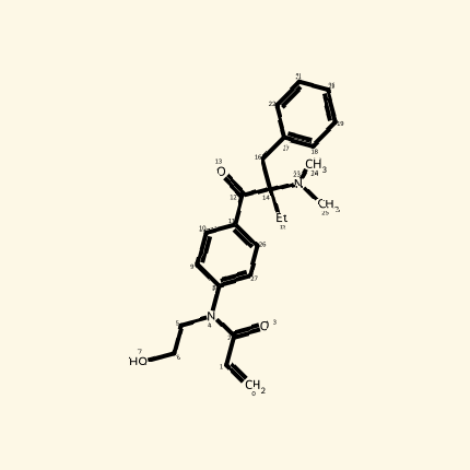 C=CC(=O)N(CCO)c1ccc(C(=O)C(CC)(Cc2ccccc2)N(C)C)cc1